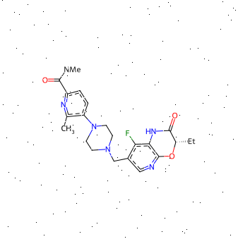 CC[C@@H]1Oc2ncc(CN3CCN(c4ccc(C(=O)NC)nc4C)CC3)c(F)c2NC1=O